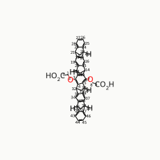 O=C(O)COc1c2c(c(OCC(=O)O)c3c1[C@H]1CC3c3cc4c(cc31)C1C[C@@H]4c3ccccc31)[C@H]1CC2c2cc3c(cc21)[C@H]1C[C@@H]3c2ccccc21